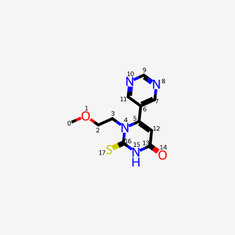 COCCn1c(-c2cncnc2)cc(=O)[nH]c1=S